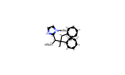 CCCCCCCCCC(c1nccn1CCCCCCCCC)C(C)(Cc1ccccc1)c1ccccc1